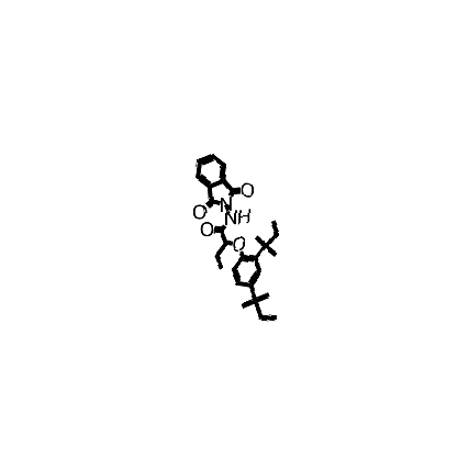 CCC(Oc1ccc(C(C)(C)CC)cc1C(C)(C)CC)C(=O)NN1C(=O)c2ccccc2C1=O